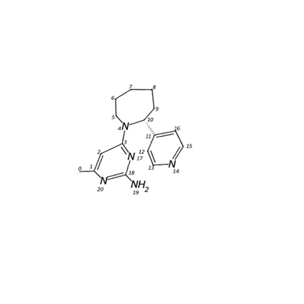 Cc1cc(N2CCCCC[C@@H]2c2ccncc2)nc(N)n1